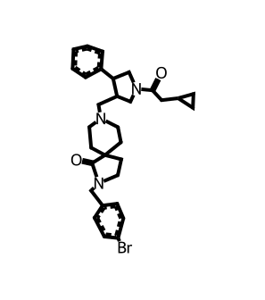 O=C(CC1CC1)N1CC(CN2CCC3(CC2)CCN(Cc2ccc(Br)cc2)C3=O)C(c2ccccc2)C1